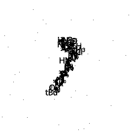 CC(C)(C)OC(=O)N1CCN(C2CC(n3cc(Nc4ncc(Cl)c(Nc5ccc6nccnc6c5P(C)(C)=O)n4)cn3)C2)CC1